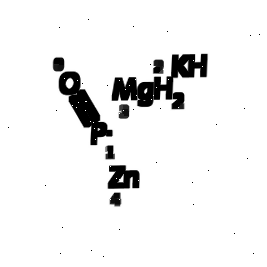 O=[P].[KH].[MgH2].[Zn]